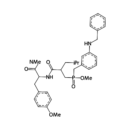 CNC(=O)C(Cc1ccc(OC)cc1)NC(=O)C(CC(C)C)CP(=O)(Cc1cccc(NCc2ccccc2)c1)OC